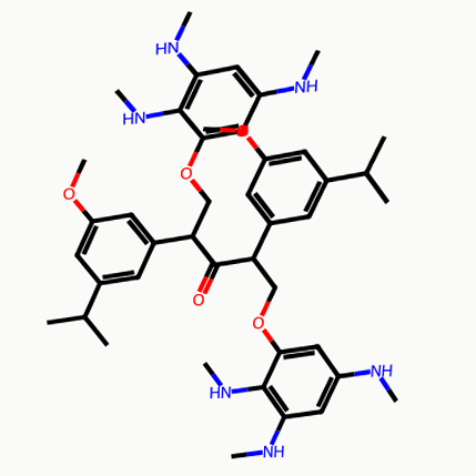 CNc1cc(NC)c(NC)c(OCC(C(=O)C(COc2cc(NC)cc(NC)c2NC)c2cc(OC)cc(C(C)C)c2)c2cc(OC)cc(C(C)C)c2)c1